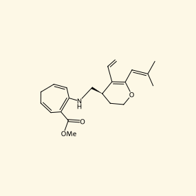 C=CC1=C(C=C(C)C)OCC[C@H]1CNC1=C(C(=O)OC)C=CCC=C1